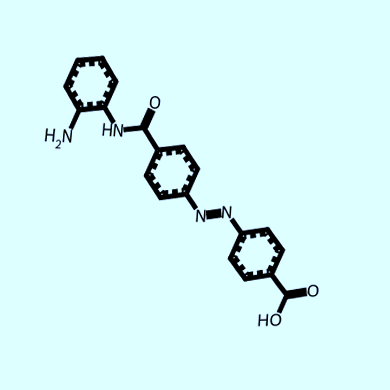 Nc1ccccc1NC(=O)c1ccc(/N=N/c2ccc(C(=O)O)cc2)cc1